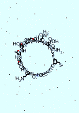 CSCc1cc2cc(c1)OCCCCCCO/N=C/C(=O)N[C@@H](CCCCN)C(=O)N[C@@H](C)C(=O)N1CCC[C@H]1C(=O)N[C@@H](CC(C)C)C(=O)N[C@@H](CC(=O)O)C(=O)N[C@@H]([C@@H](C)O)C(=O)N1CCC[C@H]1C(=O)N[C@@H](CCC(N)=O)C(=O)N[C@@H](CCC(=O)O)C(=O)N[C@H](C(N)=O)CSC2